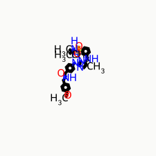 COc1ccc(CNC(=O)c2ccc(Nc3ncc(C)c(Nc4cccc(S(=O)(=O)NC(C)(C)C)c4)n3)cc2)cc1